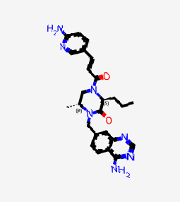 CCC[C@H]1C(=O)N(Cc2ccc3c(N)ncnc3c2)[C@H](C)CN1C(=O)C=Cc1ccc(N)nc1